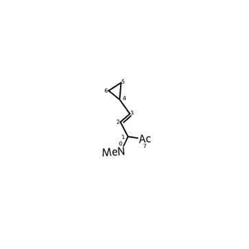 CNC(/C=C/C1CC1)C(C)=O